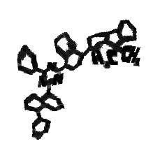 CC1(C)c2ccccc2-c2ccc(-c3ccc(-c4nc(-c5ccccc5)nc(-c5cccc6c(-c7ccccc7)cccc56)n4)c4ccccc34)cc21